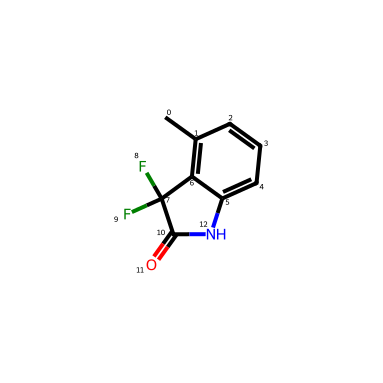 Cc1cccc2c1C(F)(F)C(=O)N2